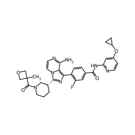 CC1(C(=O)N2CCC[C@@H](c3nc(-c4ccc(C(=O)Nc5cc(OC6CC6)ccn5)cc4F)c4c(N)nccn34)C2)COC1